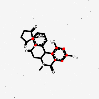 CN(C(=O)c1cc(C(F)(F)F)cc(C(F)(F)F)c1)C(CC(=O)O[N+]1(O)C(=O)CCC1=O)C(c1ccccc1)c1ccccc1